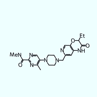 CCC1Oc2cnc(CN3CCN(c4cnc(C(=O)NC)nc4C)CC3)cc2NC1=O